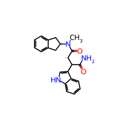 CN(C(=O)[CH]C(C(N)=O)c1c[nH]c2ccccc12)C1Cc2ccccc2C1